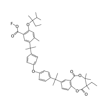 CCC(C)(Oc1cc(C)c(C(C)(C)c2ccc(Oc3ccc(C(C)(C)c4ccc5c(c4)C(=O)OC(C)(C)C(C)(CC)C(=O)O5)cc3)cc2)cc1C(=O)OF)C(C)C